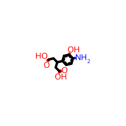 Nc1ccc(C(CC(=O)O)CC(=O)O)cc1O